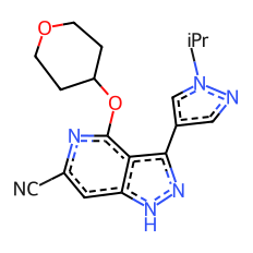 CC(C)n1cc(-c2n[nH]c3cc(C#N)nc(OC4CCOCC4)c23)cn1